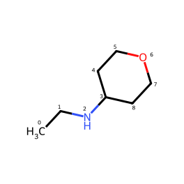 CCNC1CCOCC1